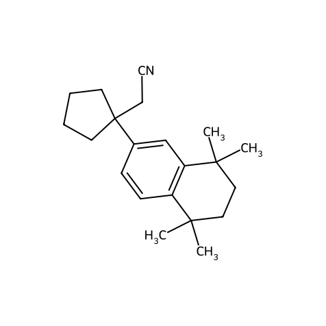 CC1(C)CCC(C)(C)c2cc(C3(CC#N)CCCC3)ccc21